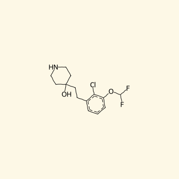 OC1(CCc2cccc(OC(F)F)c2Cl)CCNCC1